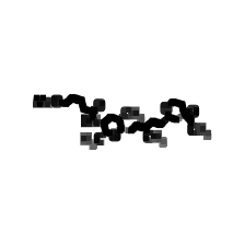 COC/C=C\CC(=O)N[C@@H]1C[C@H](C)[C@H](C/C=C(C)/C=C/[C@@H]2C[C@]3(CCO2)OC3C)O[C@@H]1C